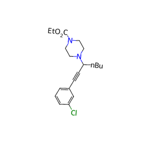 CCCCC(C#Cc1cccc(Cl)c1)N1CCN(C(=O)OCC)CC1